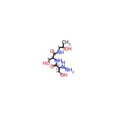 CC(O)CNC(=O)C(CO)NC(=O)C(CO)NN